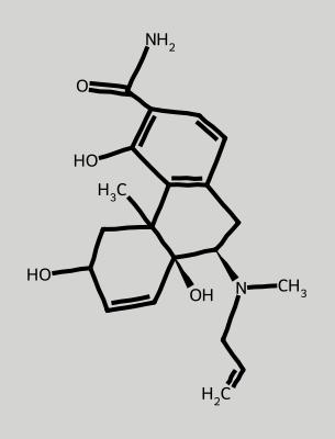 C=CCN(C)[C@@H]1Cc2ccc(C(N)=O)c(O)c2C2(C)CC(O)C=C[C@@]12O